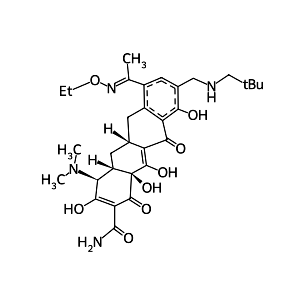 CCON=C(C)c1cc(CNCC(C)(C)C)c(O)c2c1C[C@H]1C[C@H]3[C@H](N(C)C)C(O)=C(C(N)=O)C(=O)[C@@]3(O)C(O)=C1C2=O